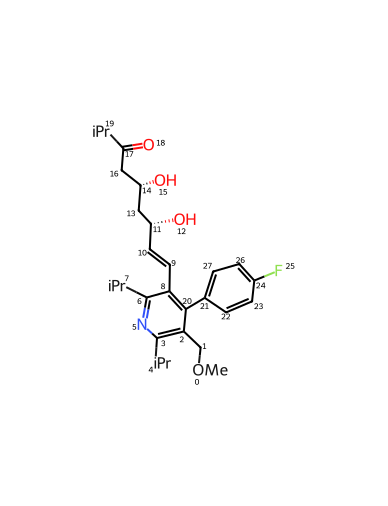 COCc1c(C(C)C)nc(C(C)C)c(/C=C/[C@@H](O)C[C@@H](O)CC(=O)C(C)C)c1-c1ccc(F)cc1